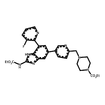 CCOC(=O)Nc1nc2cc(-c3ccc(CN4CCN(C(=O)OCC)CC4)nc3)cc(-c3ncccc3F)c2[nH]1